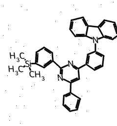 C[Si](C)(C)c1cccc(-c2nc(-c3ccccc3)cc(-c3cccc(-n4c5ccccc5c5ccccc54)c3)n2)c1